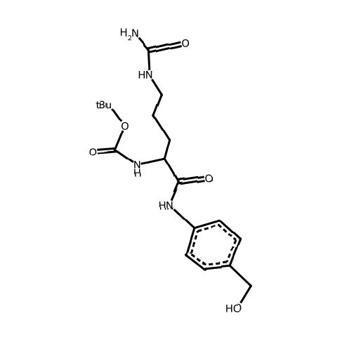 CC(C)(C)OC(=O)NC(CCCNC(N)=O)C(=O)Nc1ccc(CO)cc1